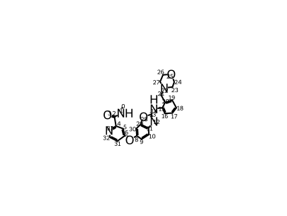 CNC(=O)c1cc(Oc2ccc3nc(Nc4ccccc4CN4CCOCC4)oc3c2)ccn1